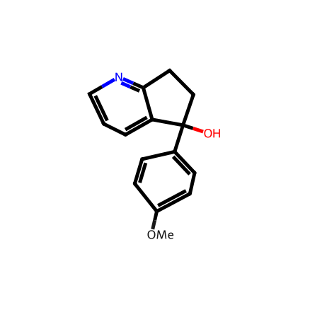 COc1ccc(C2(O)CCc3ncccc32)cc1